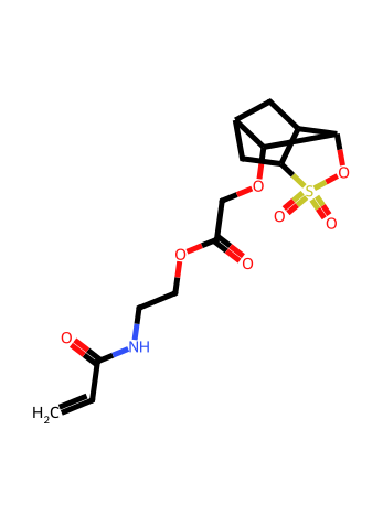 C=CC(=O)NCCOC(=O)COC1C2CC3C1OS(=O)(=O)C3C2